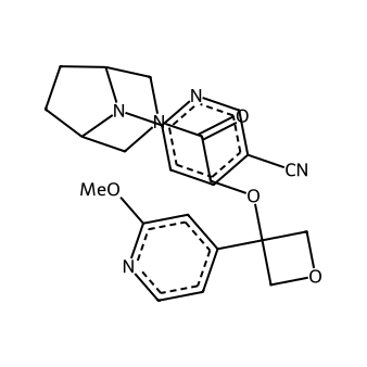 COc1cc(C2(OCC(=O)N3CC4CCC(C3)N4c3ccc(C#N)cn3)COC2)ccn1